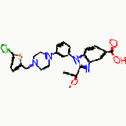 COC(C)c1nc2cc(C(=O)O)ccc2n1-c1cccc(N2CCN(Cc3ccc(Cl)s3)CC2)c1